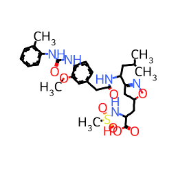 COc1cc(CC(=O)NC(CC(C)C)C2=NOC(CC(NS(C)(=O)=O)C(=O)O)C2)ccc1NC(=O)Nc1ccccc1C